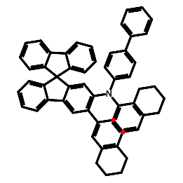 Cc1cc2c(cc1-c1cc3c(cc1N(c1ccc(-c4ccccc4)cc1)c1cccc4c1CCCC4)C1(c4ccccc4-c4ccccc41)c1ccccc1-3)CCCC2